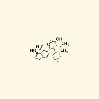 Cc1c(C(=O)N(C2CCOCC2)[C@H](C(=O)O)C(C)C)ccc2c1B(O)OC2